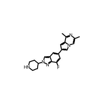 Cc1cn2cc(-c3cc(F)c4nn(C5CCNCC5)cc4c3)cc2c(C)n1